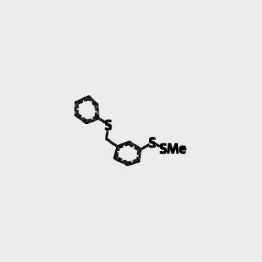 CSSc1cccc(CSc2ccccc2)c1